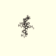 COc1cncc(-c2cc(C)c3c(n2)C(C)(O)N(c2cnn(CC(F)(F)F)c2)C3=O)c1